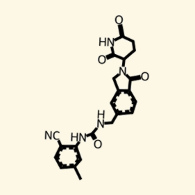 Cc1ccc(C#N)c(NC(=O)NCc2ccc3c(c2)CN(C2CCC(=O)NC2=O)C3=O)c1